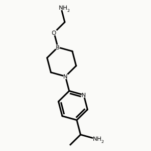 CC(N)c1ccc(N2CCB(OCN)CC2)nc1